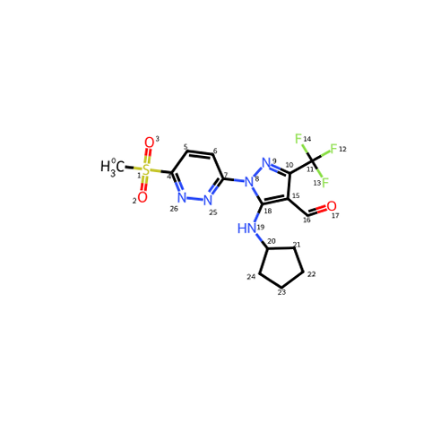 CS(=O)(=O)c1ccc(-n2nc(C(F)(F)F)c(C=O)c2NC2CCCC2)nn1